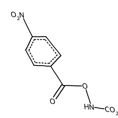 O=C(O)NOC(=O)c1ccc([N+](=O)[O-])cc1